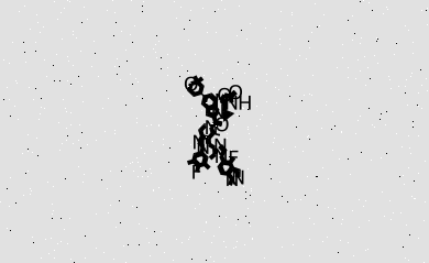 Cc1cc(-n2nc3c(c2-c2ncn(-c4ccc5c(cnn5C)c4F)c2C)[C@H](C)N(C(=O)c2cc4cc([C@H]5CCOC(C)(C)C5)ccc4n2C2(c4noc(=O)[nH]4)CC2)CC3)cc(C)c1F